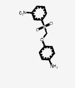 Nc1ccc(OCS(=O)(=O)c2cccc([N+](=O)[O-])c2)cc1